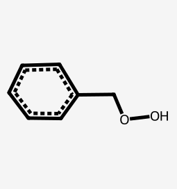 OOCc1ccccc1